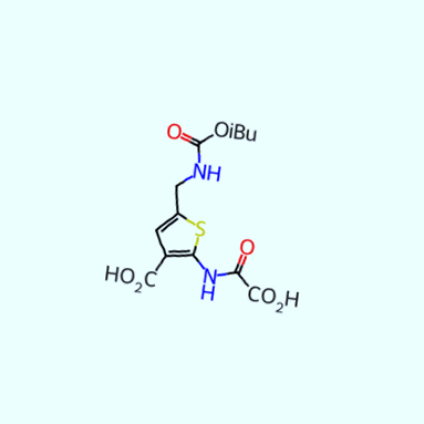 CC(C)COC(=O)NCc1cc(C(=O)O)c(NC(=O)C(=O)O)s1